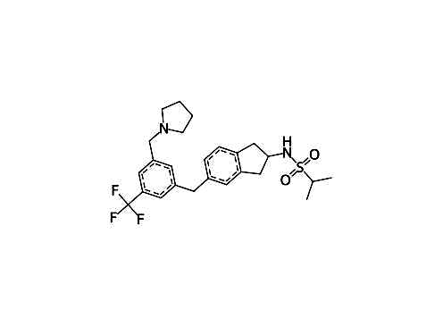 CC(C)S(=O)(=O)NC1Cc2ccc(Cc3cc(CN4CCCC4)cc(C(F)(F)F)c3)cc2C1